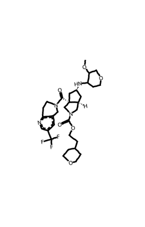 COC1COCCC1N[C@@H]1C[C@H]2CN(C(=O)OCCC3CCOCC3)C[C@@]2(C(=O)N2CCc3ncc(C(F)(F)F)cc3C2)C1